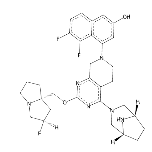 [2H][C@]1(F)CN2CCC[C@@]2(COc2nc3c(c(N4C[C@H]5CC[C@@H](C4)N5)n2)CCN(c2cc(O)cc4ccc(F)c(F)c24)C3)C1